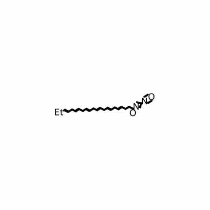 CCC=CCC=CCC=CCC=CCC=CCC=CCCC(=O)N1CC(N2CCOCC2)C1